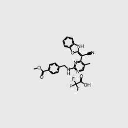 COC(=O)c1ccc(CNc2ncc(C)c(C(C#N)=C3Nc4ccccc4O3)n2)cc1.O=C(O)C(F)(F)F